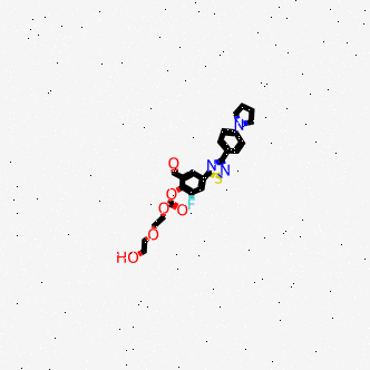 O=Cc1cc(-c2nc(-c3ccc(N4CCCC4)cc3)ns2)cc(F)c1OC(=O)OCCOCCO